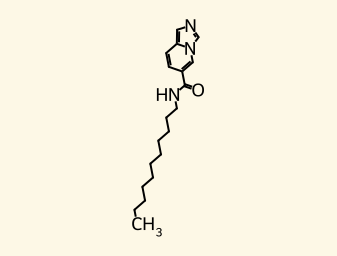 CCCCCCCCCCCNC(=O)c1ccc2cncn2c1